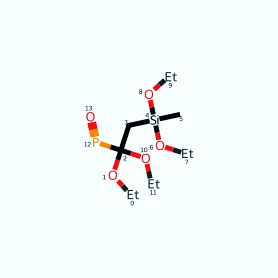 CCOC(C[Si](C)(OCC)OCC)(OCC)P=O